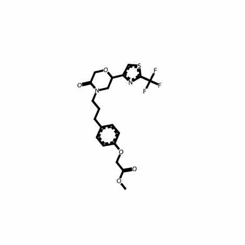 COC(=O)COc1ccc(CCCN2CC(c3csc(C(F)(F)F)n3)OCC2=O)cc1